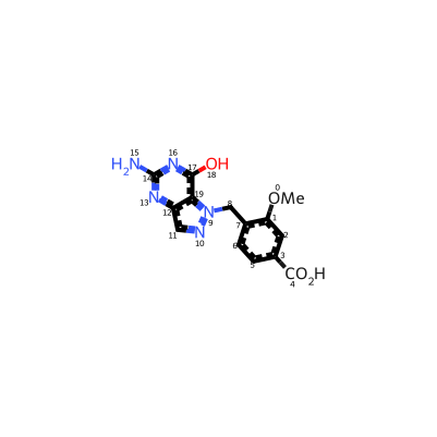 COc1cc(C(=O)O)ccc1Cn1ncc2nc(N)nc(O)c21